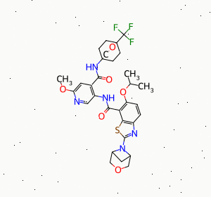 COc1cc(C(=O)NC23CCC(C(F)(F)F)(CC2)OC3)c(NC(=O)c2c(OC(C)C)ccc3nc(N4C5COCC4C5)sc23)cn1